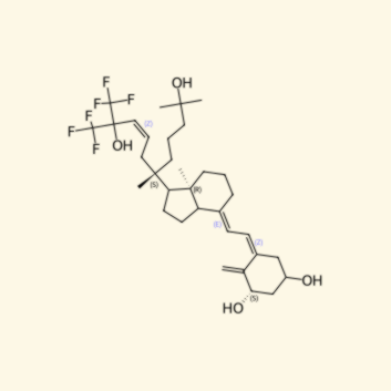 C=C1/C(=C\C=C2/CCC[C@@]3(C)C2CCC3[C@](C)(C/C=C\C(O)(C(F)(F)F)C(F)(F)F)CCCC(C)(C)O)CC(O)C[C@@H]1O